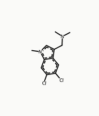 CN(C)Cc1cn(C)c2cc(Cl)c(Cl)cc12